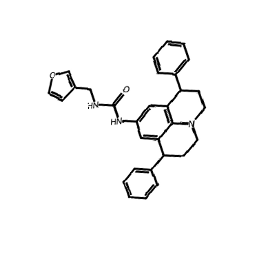 O=C(NCc1ccoc1)Nc1cc2c3c(c1)C(c1ccccc1)CCN3CCC2c1ccccc1